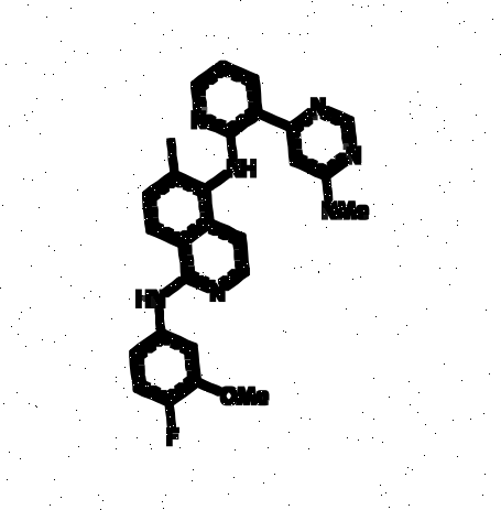 CNc1cc(-c2cccnc2Nc2c(C)ccc3c(Nc4ccc(F)c(OC)c4)nccc23)ncn1